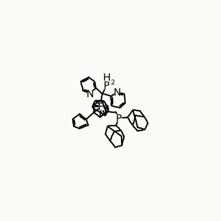 PC(c1ccccn1)(c1ccccn1)[C]12[CH]3[C]4(c5ccccc5)[CH]5[C]1(CP(C1C6CC7CC(C6)CC1C7)C1C6CC7CC(C6)CC1C7)[Fe]53421678[CH]2[CH]1[CH]6[CH]7[CH]28